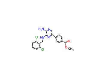 COC(=O)c1ccc(-c2cnc(N)c(NCc3c(Cl)cccc3Cl)n2)cc1